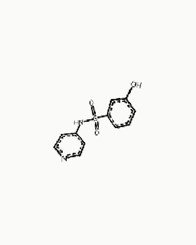 O=S(=O)(Nc1ccncc1)c1cccc(O)c1